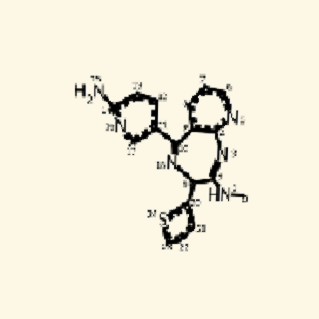 CNC1=Nc2ncccc2C(c2ccc(N)nc2)=NC1c1cccs1